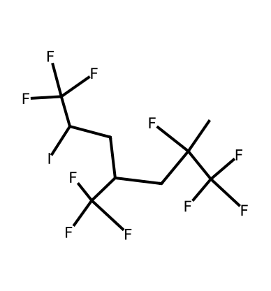 CC(F)(CC(CC(I)C(F)(F)F)C(F)(F)F)C(F)(F)F